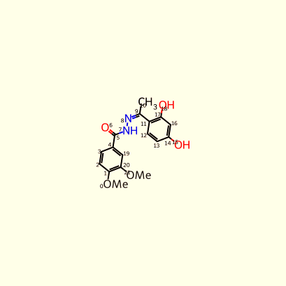 COc1ccc(C(=O)NN=C(C)c2ccc(O)cc2O)cc1OC